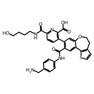 NCc1ccc(NC(=O)c2cc3c(cc2-c2ccc(C(=O)NCCCCO)nc2C(=O)O)OCCc2ccsc2-3)cc1